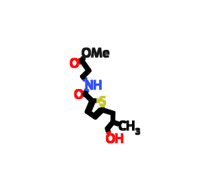 COC(=O)CCNC(=O)c1ccc(CC(C)CO)s1